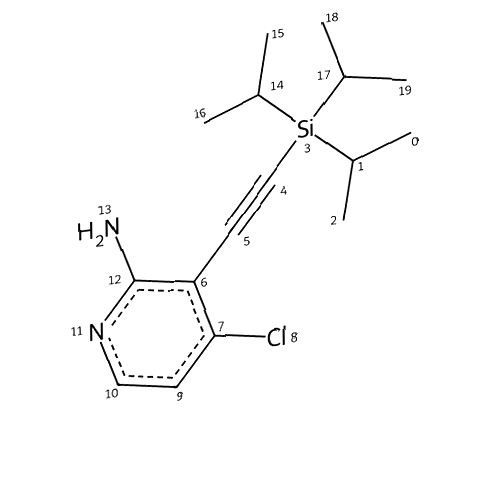 CC(C)[Si](C#Cc1c(Cl)ccnc1N)(C(C)C)C(C)C